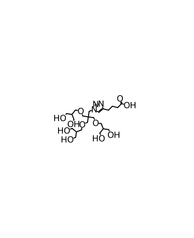 O=C(O)CCCc1cn(CC(COCC(CO)CO)(COCC(CO)CO)COCC(CO)CO)nn1